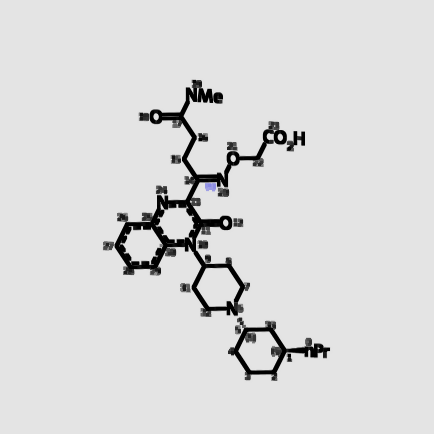 CCC[C@H]1CCC[C@H](N2CCC(n3c(=O)c(/C(CCC(=O)NC)=N/OCC(=O)O)nc4ccccc43)CC2)C1